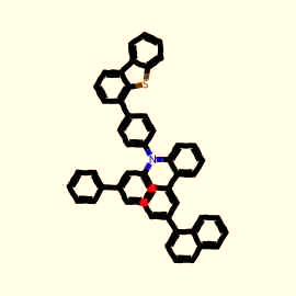 c1ccc(-c2cccc(N(c3ccc(-c4cccc5c4sc4ccccc45)cc3)c3ccccc3-c3cccc(-c4cccc5ccccc45)c3)c2)cc1